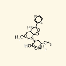 COCC(NC(=O)c1cnccn1)C(=O)N[C@@H](CC(C)C)B(O)O